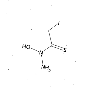 NN(O)C(=S)CI